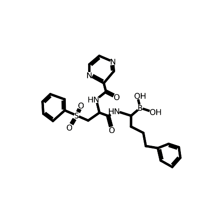 O=C(NC(CS(=O)(=O)c1ccccc1)C(=O)NC(CCCc1ccccc1)B(O)O)c1cnccn1